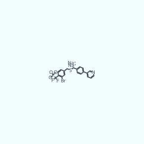 O=P([O-])([O-])C(F)(F)c1ccc(CSCc2ccc(-c3cccnc3)cc2)cc1Br.[Na+].[Na+]